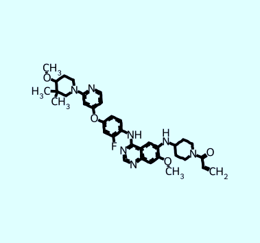 C=CC(=O)N1CCC(Nc2cc3c(Nc4ccc(Oc5ccnc(N6CCC(OC)C(C)(C)C6)c5)cc4F)ncnc3cc2OC)CC1